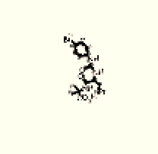 CC(C)CC(NC(=O)Nc1ccc(Br)cc1)C(=O)NC(C)(C)C(=O)O